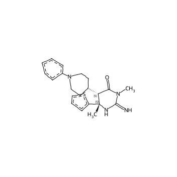 CN1C(=N)N[C@](C)(c2cccs2)[C@H](C2CCN(c3ccccc3)CC2)C1=O